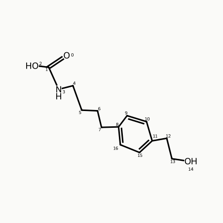 O=C(O)NCCCCc1ccc(CCO)cc1